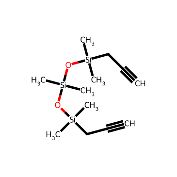 C#CC[Si](C)(C)O[Si](C)(C)O[Si](C)(C)CC#C